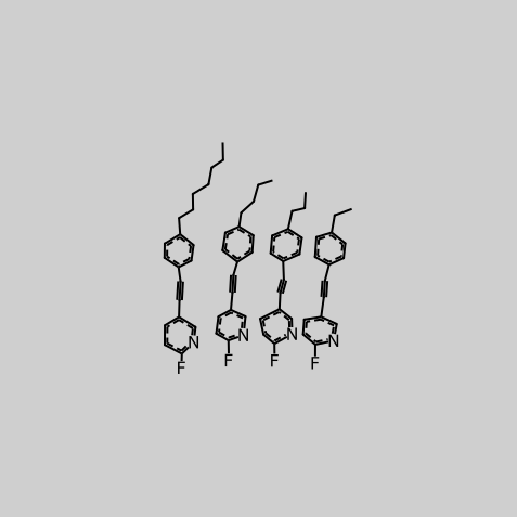 CCCCCCCc1ccc(C#Cc2ccc(F)nc2)cc1.CCCCc1ccc(C#Cc2ccc(F)nc2)cc1.CCCc1ccc(C#Cc2ccc(F)nc2)cc1.CCc1ccc(C#Cc2ccc(F)nc2)cc1